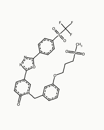 CS(=O)(=O)CCCOc1cccc(Cn2cc(-c3nnc(-c4ccc(S(=O)(=O)C(F)(F)F)cc4)o3)ccc2=O)c1